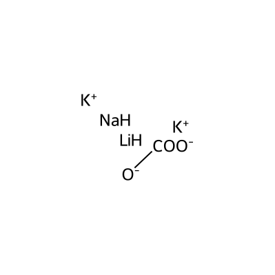 O=C([O-])[O-].[K+].[K+].[LiH].[NaH]